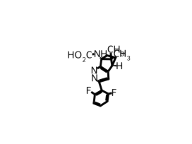 CC1(C)[C@@H]2CC[C@@]1(NC(=O)O)c1nnc(-c3c(F)cccc3F)cc12